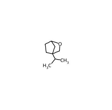 CC(C)C12CCC(C1)OC2